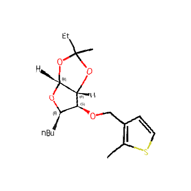 CCCC[C@H]1O[C@@H]2OC(C)(CC)O[C@@H]2[C@H]1OCc1ccsc1C